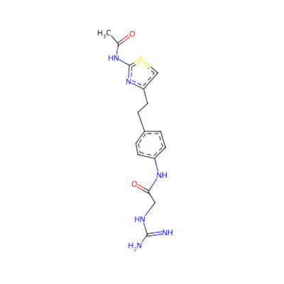 CC(=O)Nc1nc(CCc2ccc(NC(=O)CNC(=N)N)cc2)cs1